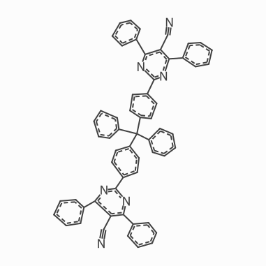 N#Cc1c(-c2ccccc2)nc(-c2ccc(C(c3ccccc3)(c3ccccc3)c3ccc(-c4nc(-c5ccccc5)c(C#N)c(-c5ccccc5)n4)cc3)cc2)nc1-c1ccccc1